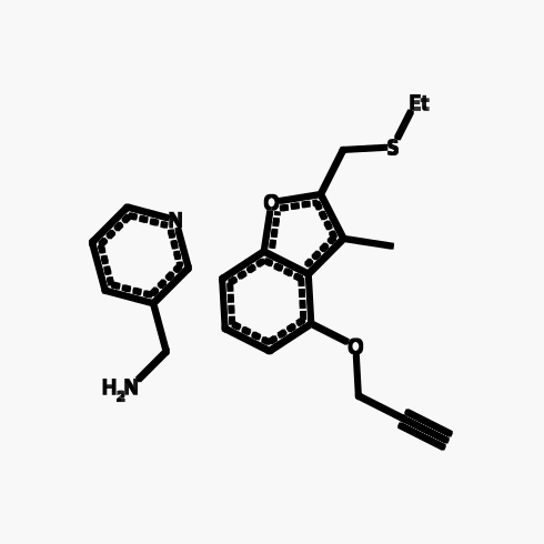 C#CCOc1cccc2oc(CSCC)c(C)c12.NCc1cccnc1